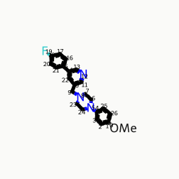 COc1ccc(N2CCN(Cc3cncc(-c4ccc(F)cc4)c3)CC2)cc1